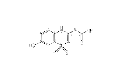 Cc1ccc2c(c1)S(=O)(=O)C=C(CC(=O)O)N2